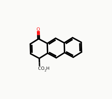 O=C1C=CC(C(=O)O)c2cc3ccccc3cc21